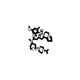 COc1cc(C)c(S(=O)(=O)N2CCn3cccc3C2CCCC(=O)N(C)[C@@H]2CCC[C@H](N3CCN(C(C)C)CC3)C2)c(C)c1